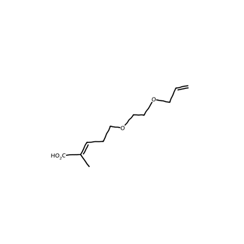 C=CCOCCOCCC=C(C)C(=O)O